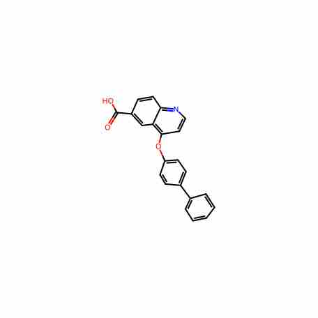 O=C(O)c1ccc2nccc(Oc3ccc(-c4ccccc4)cc3)c2c1